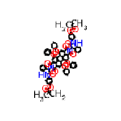 C=C(C)C(=O)Oc1ccc(NC(=O)C(c2ccccc2)N2C(=O)c3cc(Oc4ccccc4)c4c5c(Oc6ccccc6)cc6c7c(cc(Oc8ccccc8)c(c8c(Oc9ccccc9)cc(c3c48)C2=O)c75)C(=O)N(C(C(=O)Nc2ccc(OC(=O)C(=C)C)cc2)c2ccccc2)C6=O)cc1